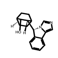 O[C@H]1C2CCC(CC2)[C@@H]1[C@H]1c2ccccc2-c2cncn21